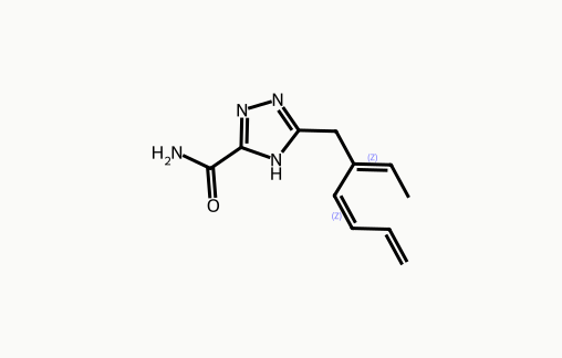 C=C/C=C\C(=C/C)Cc1nnc(C(N)=O)[nH]1